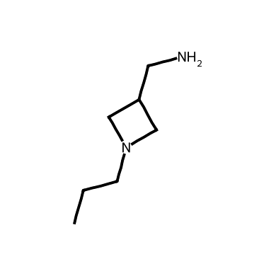 CCCN1CC(CN)C1